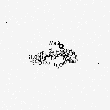 C=CCOC(=O)C(C(C)CC)N(C)C(=O)C(C)N(C)C(=O)C(Cc1ccc(OC)cc1)NC(=O)/C(C)=C/[C@H]1COC(/C(C)=C/CC(C)CC(OC(=O)C(C)N(C)C(=O)OC(C)(C)C)C(C)(C)C)=N1